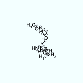 CCOC(=O)Cc1cccc(OCCCCC2CNCCN2C(=O)OC(C)(C)C)c1